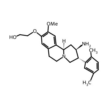 COc1cc2c(cc1OCCO)CCN1C[C@@H](c3cc(C)ccc3C)[C@H](N)C[C@H]21